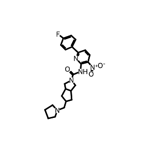 O=C(Nc1nc(-c2ccc(F)cc2)ccc1[N+](=O)[O-])N1CC2CC(CN3CCCC3)CC2C1